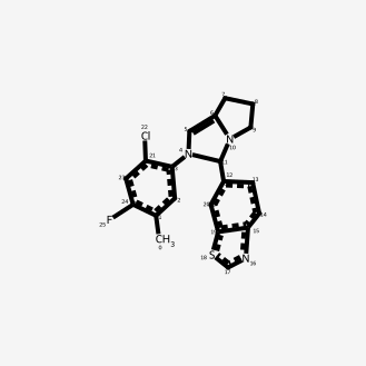 Cc1cc(N2C=C3CCCN3C2c2ccc3ncsc3c2)c(Cl)cc1F